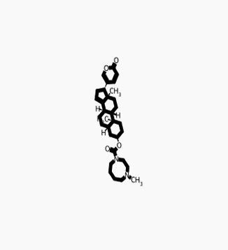 CN1CCCCN(C(=O)O[C@H]2CC[C@@]3(C)[C@H](CC[C@H]4C5=CC[C@H](c6ccc(=O)oc6)[C@@]5(C)CC[C@@H]43)C2)CC1